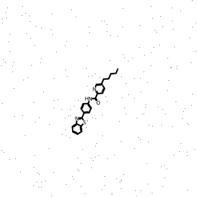 CCCCCc1ccc(C(=O)Nc2ccc(-c3nc4ccccc4s3)cc2)nc1